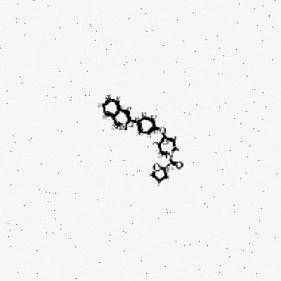 O=C([C@H]1CCCO1)N1CCC(Oc2ccc(-c3cc4ccccc4cn3)cc2)CC1